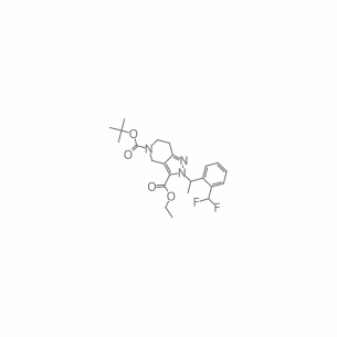 CCOC(=O)c1c2c(nn1C(C)c1ccccc1C(F)F)CCN(C(=O)OC(C)(C)C)C2